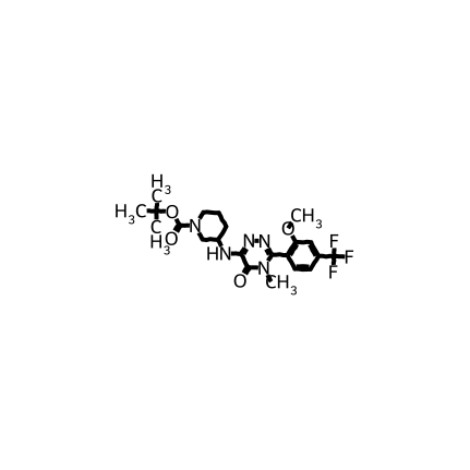 COc1cc(C(F)(F)F)ccc1-c1nnc(NC2CCCN(C(=O)OC(C)(C)C)C2)c(=O)n1C